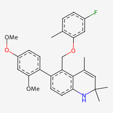 COOc1ccc(-c2ccc3c(c2COc2cc(F)ccc2C)C(C)=CC(C)(C)N3)c(OC)c1